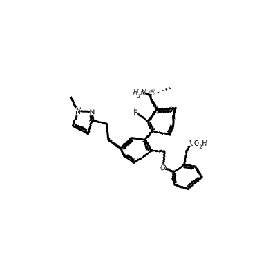 C[C@@H](N)c1cccc(-c2cc(CCc3ccn(C)n3)ccc2COc2ccccc2CC(=O)O)c1F